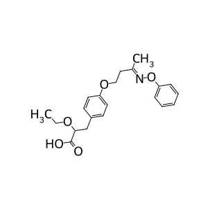 CCOC(Cc1ccc(OCCC(C)=NOc2ccccc2)cc1)C(=O)O